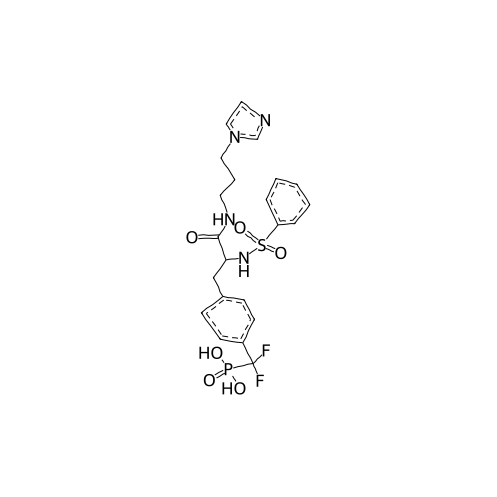 O=C(NCCCn1ccnc1)C(Cc1ccc(C(F)(F)P(=O)(O)O)cc1)NS(=O)(=O)c1ccccc1